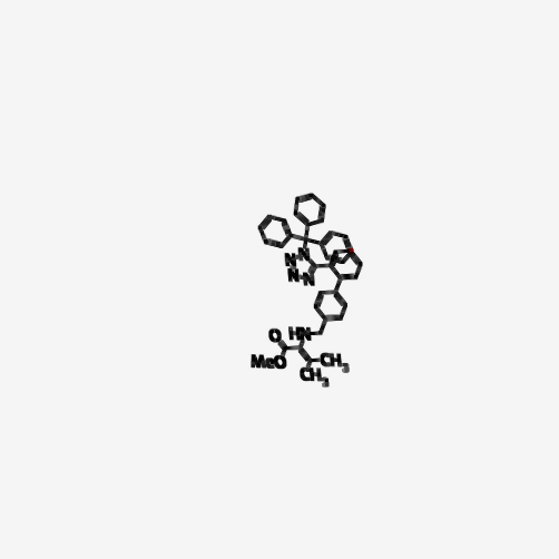 COC(=O)C(NCc1ccc(-c2ccccc2-c2nnnn2C(c2ccccc2)(c2ccccc2)c2ccccc2)cc1)=C(C)C